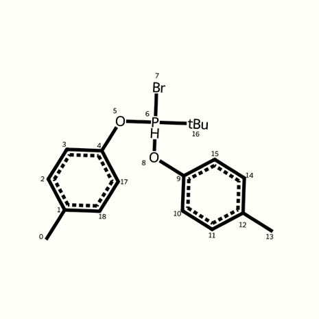 Cc1ccc(O[PH](Br)(Oc2ccc(C)cc2)C(C)(C)C)cc1